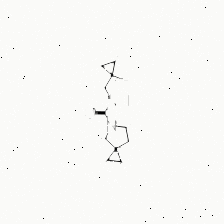 O=C(NCC1(F)CC1)N1CCC2(CC2)C1